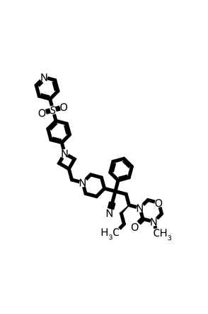 CCC[C@@H](CC(C#N)(c1ccccc1)C1CCN(CC2CN(c3ccc(S(=O)(=O)c4ccncc4)cc3)C2)CC1)N1COCN(C)C1=O